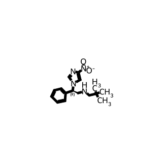 CC(C)(C)CNC[C@@H](c1ccccc1)n1cnc([N+](=O)[O-])c1